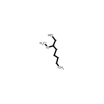 CCCCCC(CO)OC